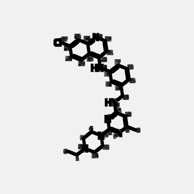 CCN1CCN(c2nc(C)cc(NCc3cccc(Nc4ccnc5cc(Cl)ccc45)c3)n2)CC1